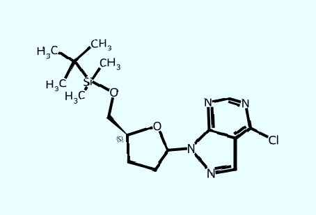 CC(C)(C)[Si](C)(C)OC[C@@H]1CCC(n2ncc3c(Cl)ncnc32)O1